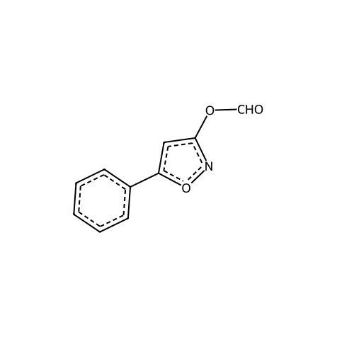 O=COc1cc(-c2ccccc2)on1